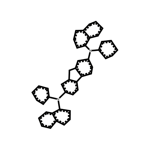 c1ccc(N(c2ccc3c(c2)Cc2cc(N(c4ccccc4)c4cccc5ccccc45)ccc2-3)c2cccc3ccccc23)cc1